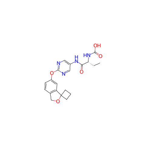 CC[C@@H](NC(=O)O)C(=O)Nc1cnc(Oc2ccc3c(c2)C2(CCC2)OC3)nc1